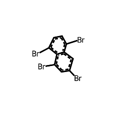 Brc1cc(Br)c2c(Br)ccc(Br)c2c1